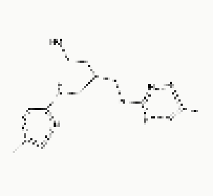 Cc1cnc(NCC(CCO)CNc2ccc(I)cn2)nn1